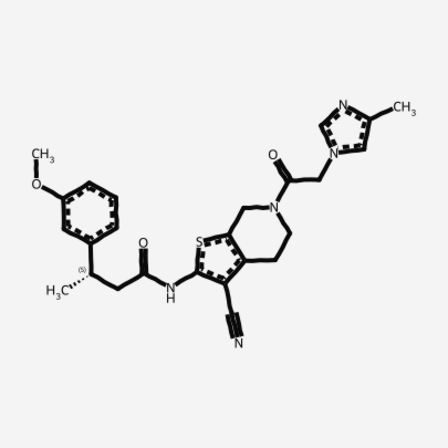 COc1cccc([C@@H](C)CC(=O)Nc2sc3c(c2C#N)CCN(C(=O)Cn2cnc(C)c2)C3)c1